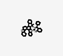 CC1(C)c2ccccc2-c2c1c1c(c3ccccc3n1-c1nc(-c3ccccc3)c3ccccc3n1)c1c2ccc2sc3ccccc3c21